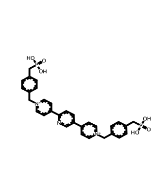 O=P(O)(O)Cc1ccc(C[n+]2ccc(-c3ccc(-c4cc[n+](Cc5ccc(CP(=O)(O)O)cc5)cc4)nc3)cc2)cc1